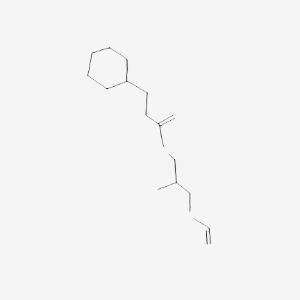 O=COCC(O)COC(=O)CCC1CCCCC1